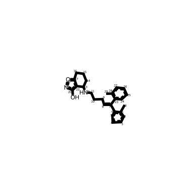 Cc1ccccc1C(=CCCCNC1CCCc2onc(O)c21)c1ccccc1C